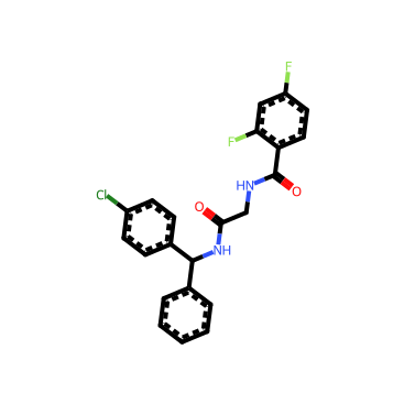 O=C(CNC(=O)c1ccc(F)cc1F)NC(c1ccccc1)c1ccc(Cl)cc1